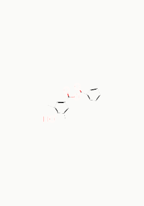 Cc1cc(C(=O)OC(=O)c2ccccc2)cc(C)c1O